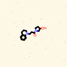 O=C(CCN1CCCc2ccccc21)N1CCC(O)C1